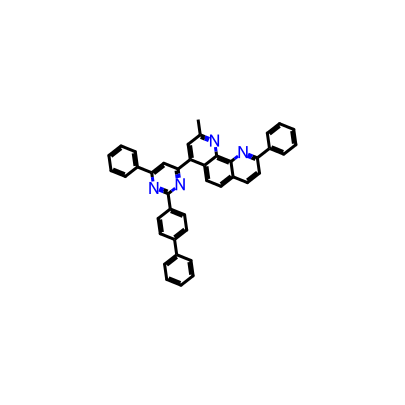 Cc1cc(-c2cc(-c3ccccc3)nc(-c3ccc(-c4ccccc4)cc3)n2)c2ccc3ccc(-c4ccccc4)nc3c2n1